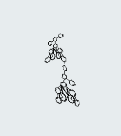 c1ccc(-c2ccc(-c3ccccc3)c(-c3cc4c5ccc6c7ccccc7oc6c5n5c4c(c3)c3ccc4c6ccc(-c7ccc(-c8ccc(-c9cc%10c%11ccc%12c%13ccccc%13oc%12c%11n%11c%10c(c9)c9ccc%10c%12ccccc%12oc%10c9%11)c(-c9ccccc9)c8)cc7)cc6oc4c35)c2)cc1